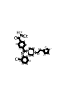 CCN(CC)C(=O)c1ccc(C(=Nc2ccccc2Cl)N2CCN(CCc3cccs3)CC2)cc1